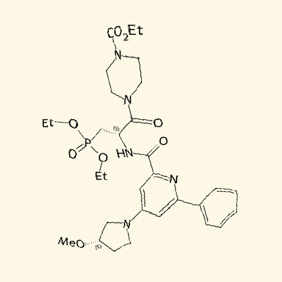 CCOC(=O)N1CCN(C(=O)[C@@H](CP(=O)(OCC)OCC)NC(=O)c2cc(N3CC[C@H](OC)C3)cc(-c3ccccc3)n2)CC1